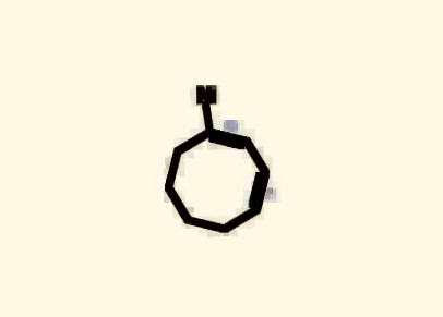 [Ni]/[C]1=C/C=C\CCCC1